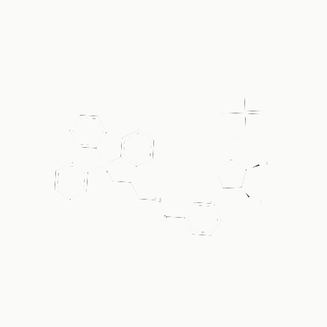 O=C(NCCC[PH](c1ccccc1)(c1ccccc1)c1ccccc1)c1ccc[n+]([C@@H]2O[C@H](COP(=O)(O)O)[C@@H](O)[C@H]2O)c1